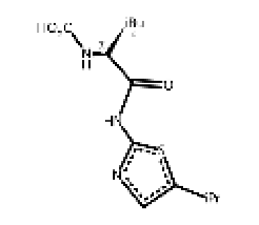 CC[C@H](C)[C@H](NC(=O)O)C(=O)Nc1ncc(C(C)C)s1